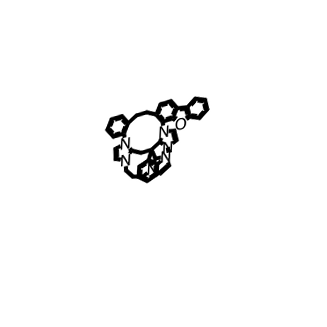 CN1C=CN2c3c(ccc4c3oc3ccccc34)CCc3ccccc3N3C=CN4CCCN5C=CN6c7ccccc7C(CC43)(C12)C56